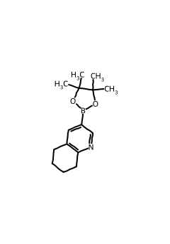 CC1(C)OB(c2cnc3c(c2)CCCC3)OC1(C)C